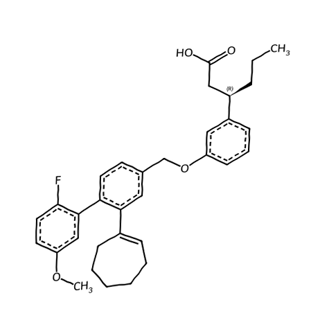 CCC[C@H](CC(=O)O)c1cccc(OCc2ccc(-c3cc(OC)ccc3F)c(C3=CCCCCC3)c2)c1